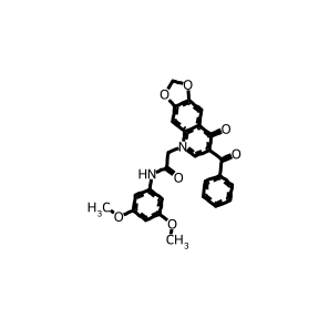 COc1cc(NC(=O)Cn2cc(C(=O)c3ccccc3)c(=O)c3cc4c(cc32)OCO4)cc(OC)c1